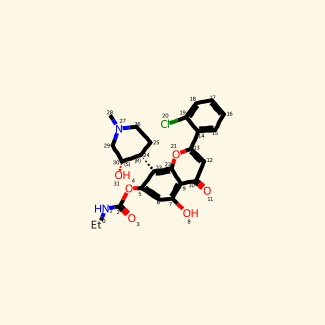 CCNC(=O)Oc1cc(O)c2c(=O)cc(-c3ccccc3Cl)oc2c1[C@H]1CCN(C)C[C@H]1O